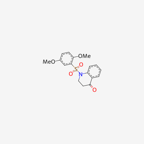 COc1ccc(OC)c(S(=O)(=O)N2CCC(=O)c3ccccc32)c1